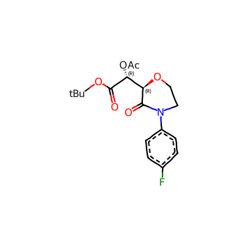 CC(=O)O[C@@H](C(=O)OC(C)(C)C)[C@H]1OCCN(c2ccc(F)cc2)C1=O